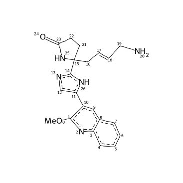 COc1nc2ccccc2cc1-c1cnc(C2(CC=CCN)CCC(=O)N2)[nH]1